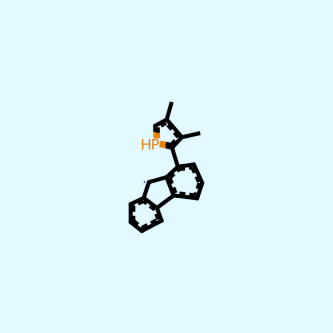 Cc1c[pH]c(-c2cccc3c2[CH]c2ccccc2-3)c1C